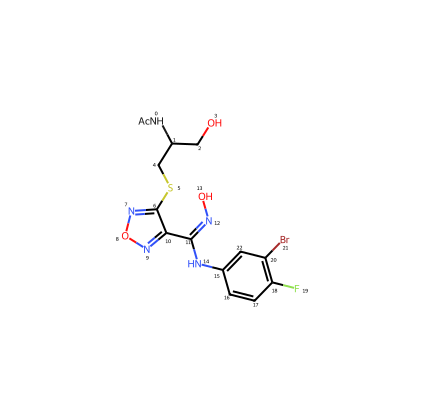 CC(=O)NC(CO)CSc1nonc1C(=NO)Nc1ccc(F)c(Br)c1